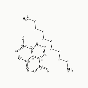 CCCCCCCCCCN.O=[N+]([O-])c1cccc([N+](=O)[O-])c1[N+](=O)[O-]